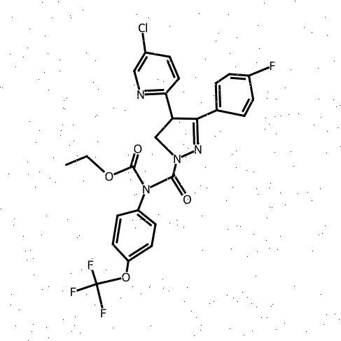 CCOC(=O)N(C(=O)N1CC(c2ccc(Cl)cn2)C(c2ccc(F)cc2)=N1)c1ccc(OC(F)(F)F)cc1